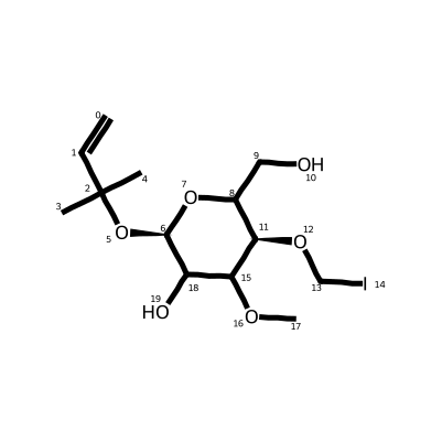 C=CC(C)(C)O[C@H]1OC(CO)[C@@H](OCI)C(OC)C1O